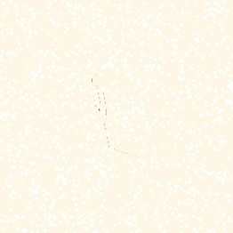 [C-]#[N+][CH]C